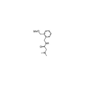 COCc1ccccc1CNC(=O)CN(C)C